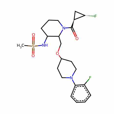 CS(=O)(=O)NC1CCCN(C(=O)[C@H]2C[C@@H]2F)C1COC1CCN(c2ccccc2F)CC1